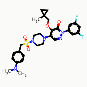 CN(C)c1ccc(CS(=O)(=O)N2CCN(c3cnn(-c4cc(F)cc(F)c4)c(=O)c3OCC3(C)CC3)CC2)cc1